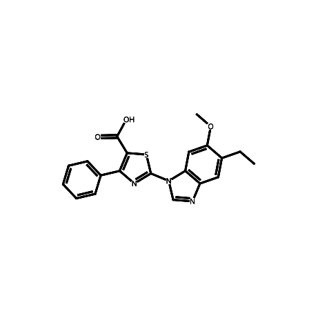 CCc1cc2ncn(-c3nc(-c4ccccc4)c(C(=O)O)s3)c2cc1OC